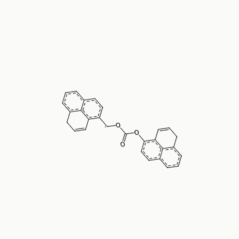 O=C(O[C]c1ccc2cccc3c2c1C=CC3)Oc1ccc2cccc3c2c1C=CC3